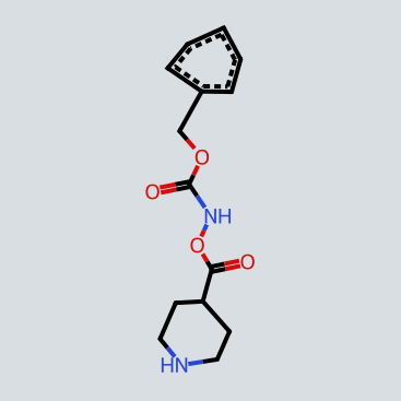 O=C(NOC(=O)C1CCNCC1)OCc1ccccc1